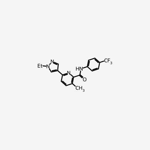 CCn1cc(-c2ccc(C)c(C(=O)Nc3ccc(C(F)(F)F)cc3)n2)cn1